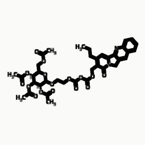 CCCc1cc2n(c(=O)c1COC(=O)OC(=O)OCCOC1OC(COC(C)=O)[C@@H](OC(C)=O)C(OC(C)=O)[C@H]1OC(C)=O)Cc1cc3ccccc3nc1-2